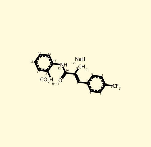 C/C(=C\c1ccc(C(F)(F)F)cc1)C(=O)Nc1ccccc1C(=O)O.[NaH]